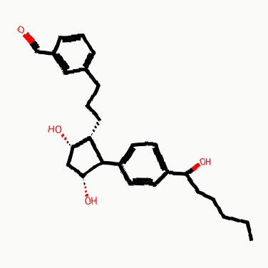 CCCCCC(O)c1ccc(C2[C@H](O)C[C@H](O)[C@@H]2CCCc2cccc(C=O)c2)cc1